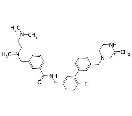 C[C@H]1CN(Cc2cccc(-c3cc(CNC(=O)c4cccc(CN(C)CCN(C)C)c4)ccc3F)c2)CCN1